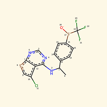 CC(Nc1ncnc2scc(Cl)c12)c1ccc([S+]([O-])C(F)(F)F)cc1